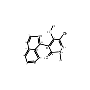 COc1c(Cl)nn(C)c(=O)c1-c1nccc2ccccc12